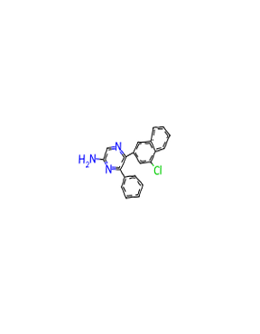 Nc1cnc(-c2cc(Cl)c3ccccc3c2)c(-c2ccccc2)n1